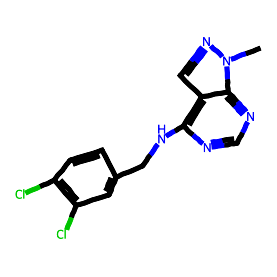 Cn1ncc2c(NCc3ccc(Cl)c(Cl)c3)ncnc21